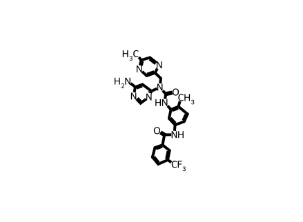 Cc1cnc(CN(C(=O)Nc2cc(NC(=O)c3cccc(C(F)(F)F)c3)ccc2C)c2cc(N)ncn2)cn1